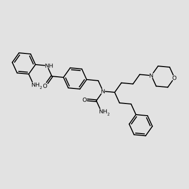 NC(=O)N(Cc1ccc(C(=O)Nc2ccccc2N)cc1)C(CCCN1CCOCC1)CCc1ccccc1